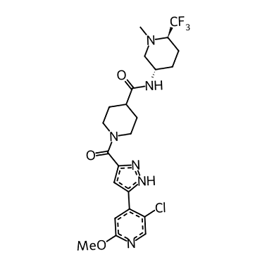 COc1cc(-c2cc(C(=O)N3CCC(C(=O)N[C@H]4CC[C@H](C(F)(F)F)N(C)C4)CC3)n[nH]2)c(Cl)cn1